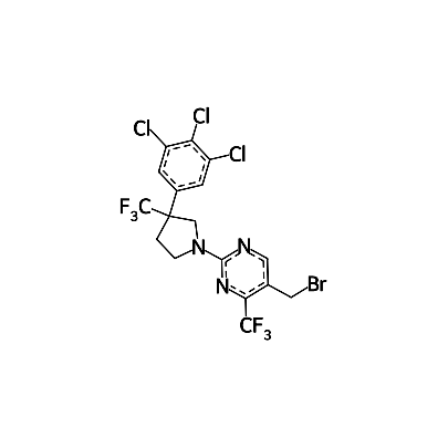 FC(F)(F)c1nc(N2CCC(c3cc(Cl)c(Cl)c(Cl)c3)(C(F)(F)F)C2)ncc1CBr